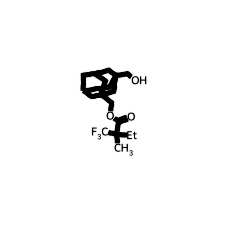 CCC(C)(C(=O)OCC12CC3CC(CC(CO)(C3)C1)C2)C(F)(F)F